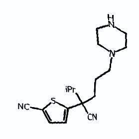 CC(C)C(C#N)(CCCN1CCNCC1)c1ccc(C#N)s1